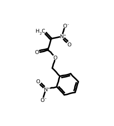 C=C(C(=O)OCc1ccccc1[N+](=O)[O-])[N+](=O)[O-]